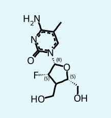 Cc1cn([C@@H]2O[C@H](CO)C(CO)[C@@H]2F)c(=O)nc1N